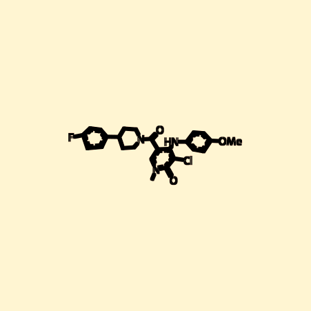 COc1ccc(Nc2c(C(=O)N3CCC(c4ccc(F)cc4)CC3)cn(C)c(=O)c2Cl)cc1